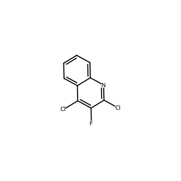 Fc1c(Cl)nc2ccccc2c1Cl